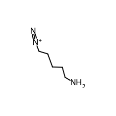 N#[N+]CCCCCN